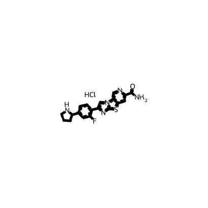 Cl.NC(=O)c1cc2sc3nc(-c4ccc(C5CCCN5)cc4F)cn3c2cn1